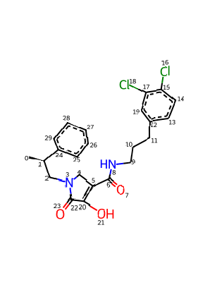 C[C@H](CN1CC(C(=O)NCCCc2ccc(Cl)c(Cl)c2)=C(O)C1=O)c1ccccc1